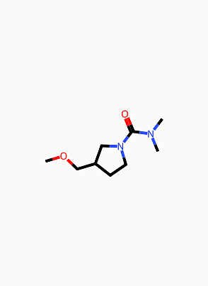 COCC1CCN(C(=O)N(C)C)C1